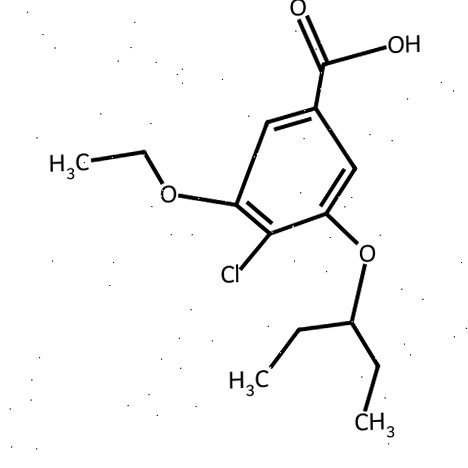 CCOc1cc(C(=O)O)cc(OC(CC)CC)c1Cl